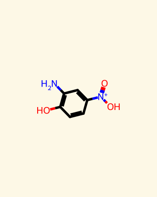 Nc1cc([N+](=O)O)ccc1O